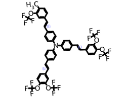 Cc1ccc(/C=C/c2ccc(N(c3ccc(/C=C/c4ccc(OC(F)(F)F)c(OC(F)(F)F)c4)cc3)c3ccc(/C=C/c4ccc(OC(F)(F)F)c(OC(F)(F)F)c4)cc3)cc2)cc1OC(F)(F)F